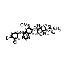 COc1cc2c(Nc3ccc(Br)c(Cl)c3)ncnc2cc1O[C@@H]1CO[C@@H]2[C@H]1OC[C@H]2NS(C)(=O)=O